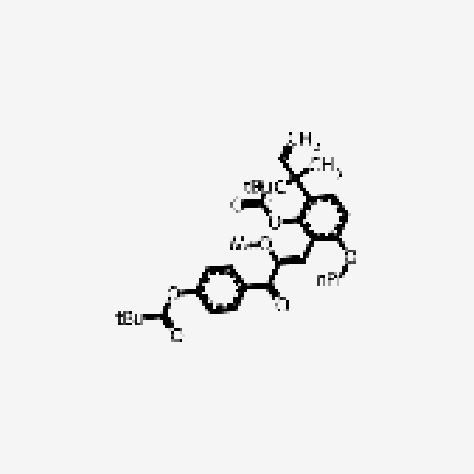 C=CC(C)(C)c1ccc(OCCC)c(C=C(OC)C(=O)c2ccc(OC(=O)C(C)(C)C)cc2)c1OC(=O)C(C)(C)C